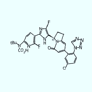 CC(C)(C)N(C(=O)O)c1ccc(-c2nc(F)c([C@H]3CCc4cc(-c5cc(Cl)ccc5-n5cnnn5)cc(=O)n43)[nH]2)c(F)n1